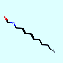 CCCC/C=C/C=C/CNC=O